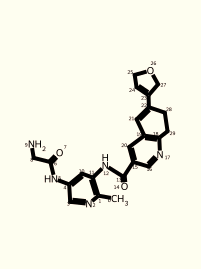 Cc1ncc(NC(=O)CN)cc1NC(=O)c1cnc2c(c1)C=C(C1=CCOC1)CC2